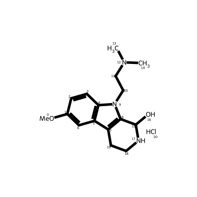 COc1ccc2c(c1)c1c(n2CCN(C)C)C(O)NCC1.Cl